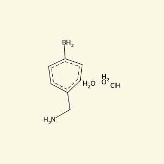 Bc1ccc(CN)cc1.Cl.O.O